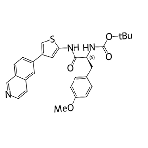 COc1ccc(C[C@H](NC(=O)OC(C)(C)C)C(=O)Nc2cc(-c3ccc4cnccc4c3)cs2)cc1